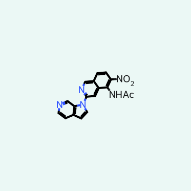 CC(=O)Nc1c([N+](=O)[O-])ccc2cnc(-n3ccc4ccncc43)cc12